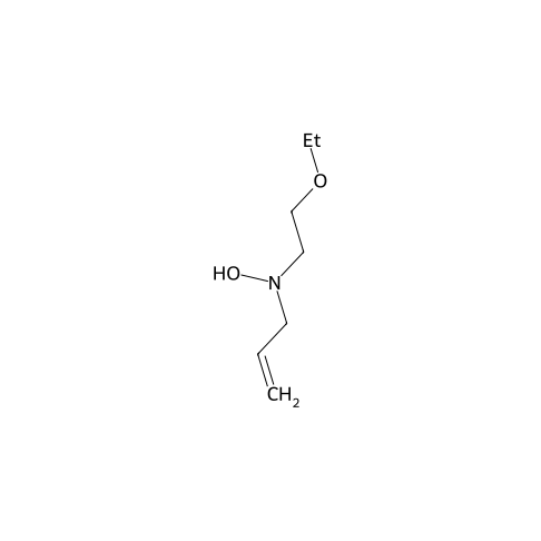 C=CCN(O)CCOCC